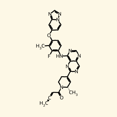 C=C=CC(=O)N1CCC(c2ncc3ncnc(Nc4ccc(Oc5ccn6ncnc6c5)c(C)c4F)c3n2)=C[C@@H]1C